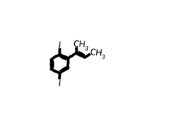 C/C=C(\C)c1cc(I)ccc1I